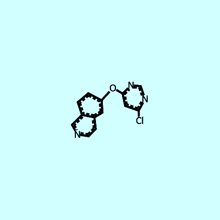 Clc1cc(Oc2ccc3cnccc3c2)ncn1